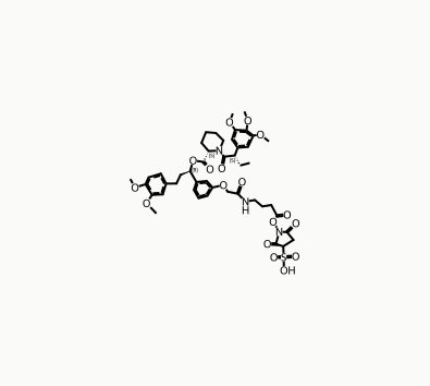 CC[C@H](C(=O)N1CCCC[C@H]1C(=O)O[C@H](CCc1ccc(OC)c(OC)c1)c1cccc(OCC(=O)NCCCC(=O)ON2C(=O)CC(S(=O)(=O)O)C2=O)c1)c1cc(OC)c(OC)c(OC)c1